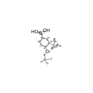 CC(C)(C)COc1ccc(B(O)O)cc1C(F)(F)F